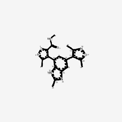 CNC(=O)c1onc(C)c1-c1cc(-c2c(C)noc2C)cc2nc(C)[nH]c12